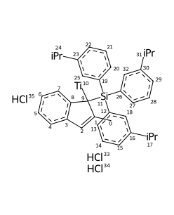 CC1=Cc2ccccc2[C]1([Ti])[Si](c1cccc(C(C)C)c1)(c1cccc(C(C)C)c1)c1cccc(C(C)C)c1.Cl.Cl.Cl